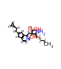 CCCSC[C@H](N)[C@](O)(Cc1nccc2c1C[C@H](CCC1CC1)C2)C(=O)O